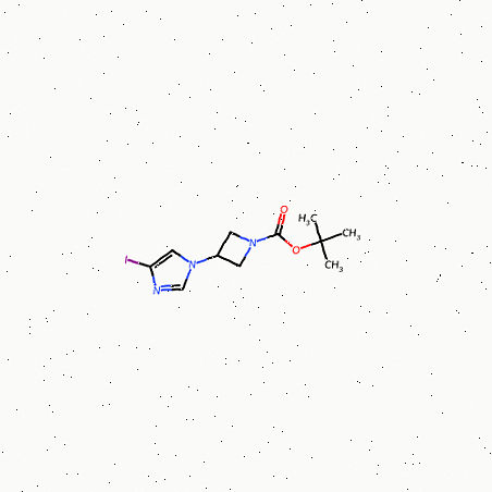 CC(C)(C)OC(=O)N1CC(n2cnc(I)c2)C1